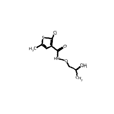 Cc1cc(C(=O)NOCC(C)O)c(Cl)s1